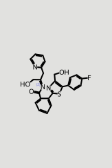 O=C(/N=C(\CO)Cc1ccccn1)c1ccccc1-c1nc(CO)c(-c2ccc(F)cc2)s1